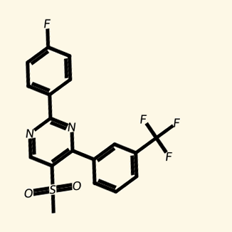 CS(=O)(=O)c1cnc(-c2ccc(F)cc2)nc1-c1cccc(C(F)(F)F)c1